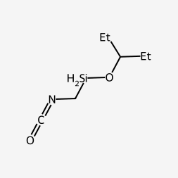 CCC(CC)O[SiH2]CN=C=O